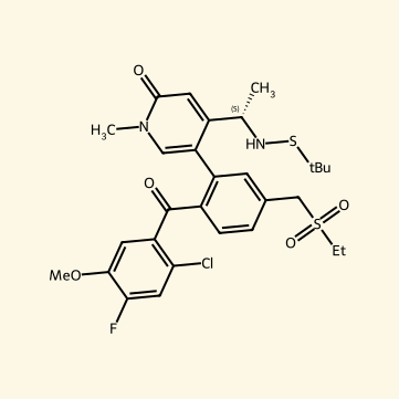 CCS(=O)(=O)Cc1ccc(C(=O)c2cc(OC)c(F)cc2Cl)c(-c2cn(C)c(=O)cc2[C@H](C)NSC(C)(C)C)c1